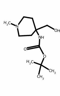 CN1CCC(CO)(NC(=O)OC(C)(C)C)CC1